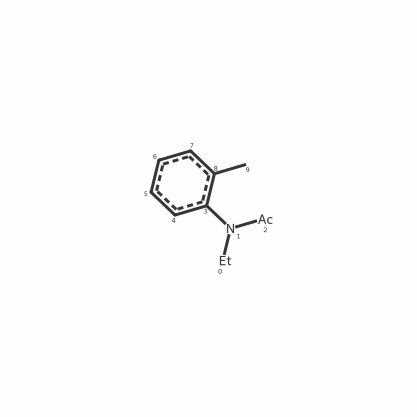 CCN(C(C)=O)c1ccccc1C